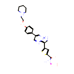 O=C(NO)c1cc(-c2cnn3cc(-c4ccc(OCCN5CCCCC5)cc4)cnc23)cs1